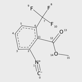 [C-]#[N+]c1cccc(C(F)(F)F)c1C(=O)OC